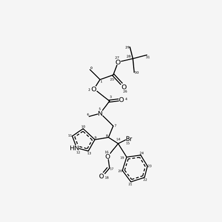 CC(OC(=O)N(C)CC(c1cc[nH]c1)C(Br)(OC=O)c1ccccc1)C(=O)OC(C)(C)C